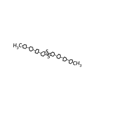 Cc1ccc(-c2ccc(-c3ccc(-c4ccc5c(c4)sc4c6ccc(-c7ccc(-c8ccc(-c9ccc(C)cc9)cc8)cc7)cc6sc54)cc3)cc2)cc1